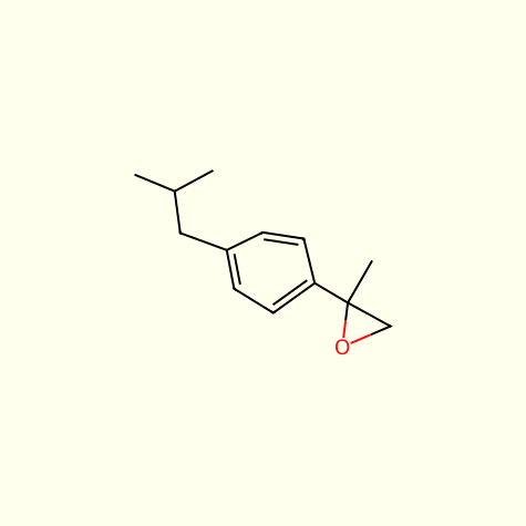 CC(C)Cc1ccc(C2(C)CO2)cc1